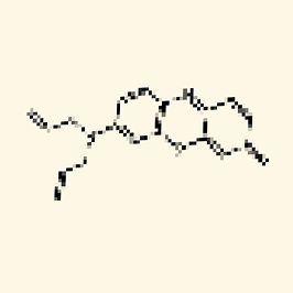 C=CCN(CC=C)c1ccc2c(c1)Sc1cc(=C)ccc1=N2